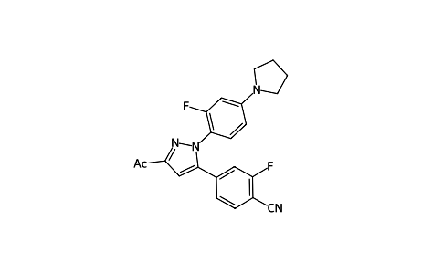 CC(=O)c1cc(-c2ccc(C#N)c(F)c2)n(-c2ccc(N3CCCC3)cc2F)n1